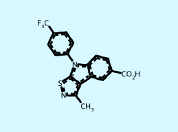 Cc1nsc2c1c1cc(C(=O)O)ccc1n2-c1ccc(C(F)(F)F)cc1